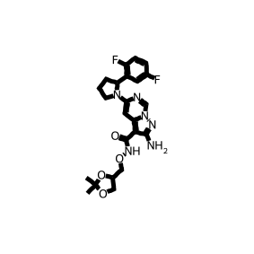 CC1(C)OCC(CONC(=O)c2c(N)nn3cnc(N4CCCC4c4cc(F)ccc4F)cc23)O1